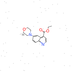 CCOC(=O)c1ccnc2ccc(N3CCO[C@@H](C)C3)cc12